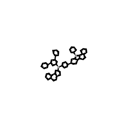 c1ccc(-c2cc(-c3ccccc3)cc(N(c3ccc(-c4ccc5c6ccc7ccccc7c6n(-c6ccccc6)c5c4)cc3)c3ccc4ccc5ccccc5c4c3)c2)cc1